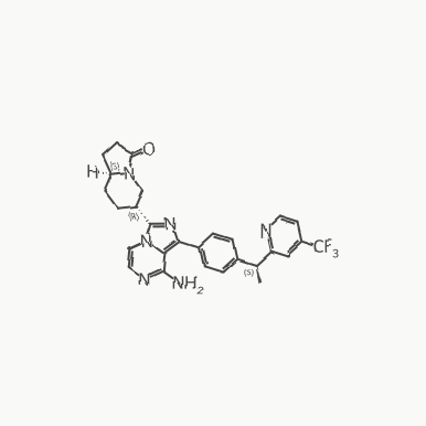 C[C@@H](c1ccc(-c2nc([C@@H]3CC[C@H]4CCC(=O)N4C3)n3ccnc(N)c23)cc1)c1cc(C(F)(F)F)ccn1